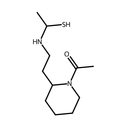 CC(=O)N1CCCCC1CCNC(C)S